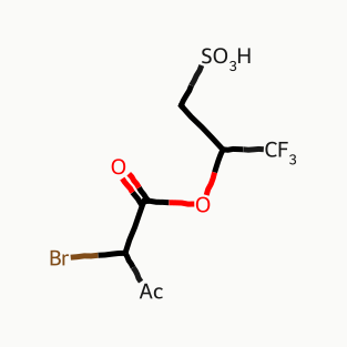 CC(=O)C(Br)C(=O)OC(CS(=O)(=O)O)C(F)(F)F